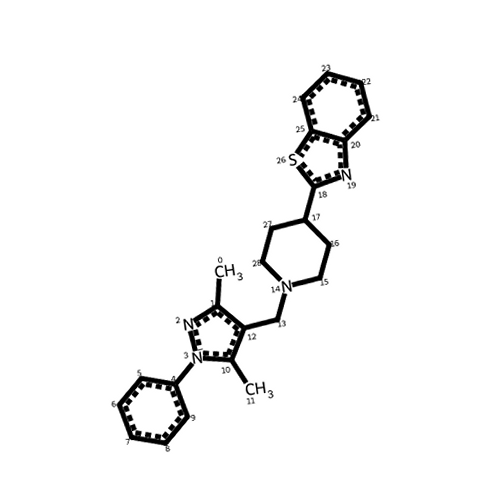 Cc1nn(-c2ccccc2)c(C)c1CN1CCC(c2nc3ccccc3s2)CC1